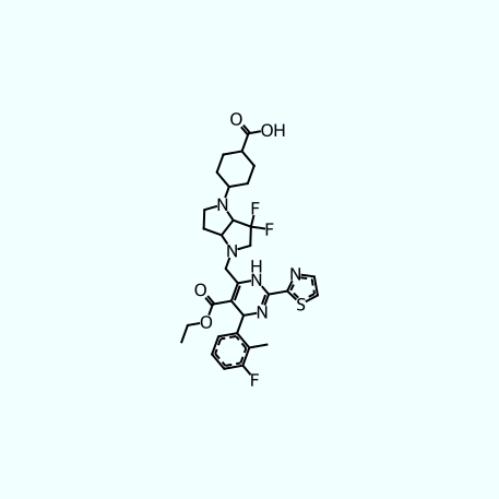 CCOC(=O)C1=C(CN2CC(F)(F)C3C2CCN3C2CCC(C(=O)O)CC2)NC(c2nccs2)=NC1c1cccc(F)c1C